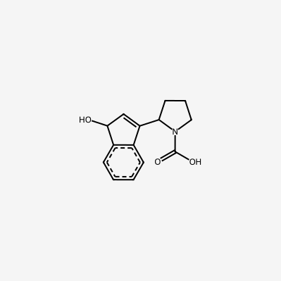 O=C(O)N1CCCC1C1=CC(O)c2ccccc21